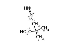 CC(C)(C)C(=O)O.[N-]=[N+]=N